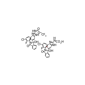 O=C(Nc1nc2ccc(C3(O)c4ccccc4C(=O)N3c3cccc(Cl)c3F)cc2[nH]1)OCC(F)(F)F.O=C(O)Nc1nc2ccc(C3(O)c4ccccc4C(=O)N3c3cccc(Cl)c3F)cc2[nH]1